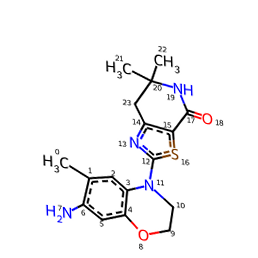 Cc1cc2c(cc1N)OCCN2c1nc2c(s1)C(=O)NC(C)(C)C2